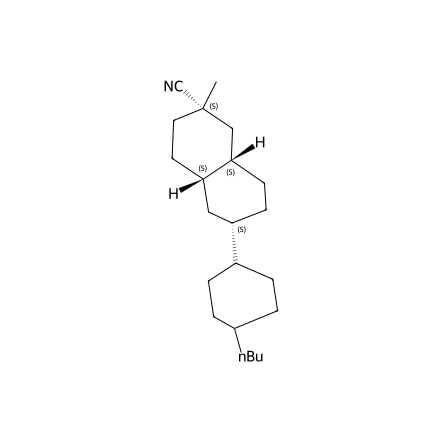 CCCCC1CCC([C@H]2CC[C@H]3C[C@@](C)(C#N)CC[C@H]3C2)CC1